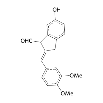 COc1ccc(/C=C2\Cc3ccc(O)cc3C2C=O)cc1OC